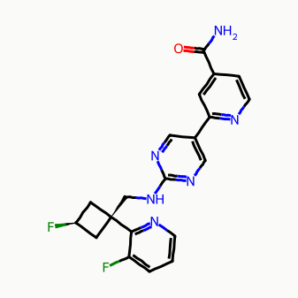 NC(=O)c1ccnc(-c2cnc(NC[C@]3(c4ncccc4F)C[C@H](F)C3)nc2)c1